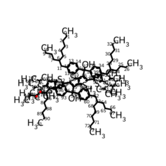 CCCCCCC(CCCC)Cc1ccc(C(O)(c2ccc(CC(CCCC)CCCCCC)cc2)c2c(-c3ccc([Si](C(C)C)(C(C)C)C(C)C)s3)sc3c(C(O)(c4ccc(CC(CCCC)CCCCCC)cc4)c4ccc(CC(CCCC)CCCCCC)cc4)c(-c4cc5sc([Si](C(C)C)(C(C)C)C(C)C)cc5s4)sc23)cc1